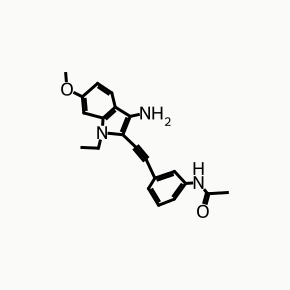 CCn1c(C#Cc2cccc(NC(C)=O)c2)c(N)c2ccc(OC)cc21